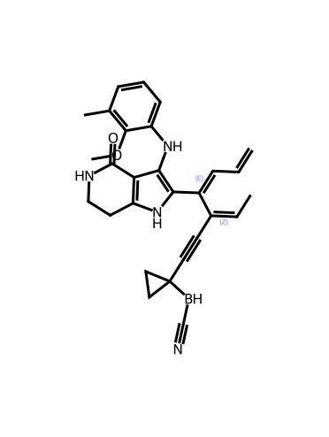 C=C/C=C(\C(C#CC1(BC#N)CC1)=C/C)c1[nH]c2c(c1Nc1cccc(C)c1OC)C(=O)NCC2